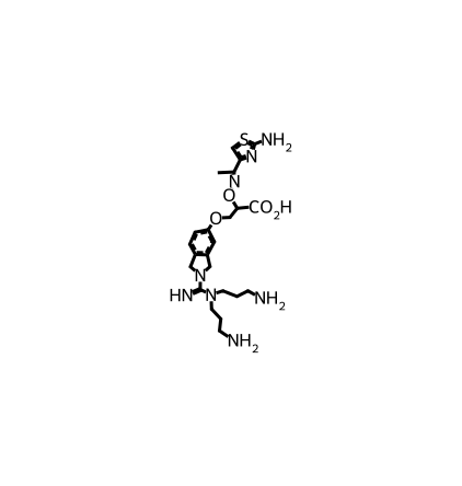 C/C(=N\OC(COc1ccc2c(c1)CN(C(=N)N(CCCN)CCCN)C2)C(=O)O)c1csc(N)n1